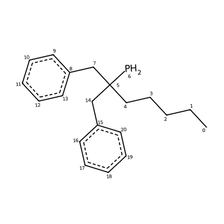 CCCCCC(P)(Cc1ccccc1)Cc1ccccc1